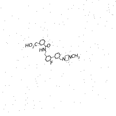 CN1CCN(Cc2cccc(-c3cc(CCNC(=O)c4cccc(C(=O)O)c4)ccc3F)c2)CC1